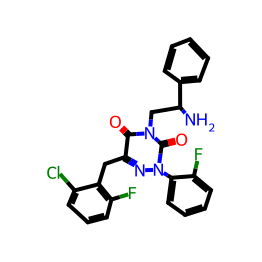 NC(Cn1c(=O)c(Cc2c(F)cccc2Cl)nn(-c2ccccc2F)c1=O)c1ccccc1